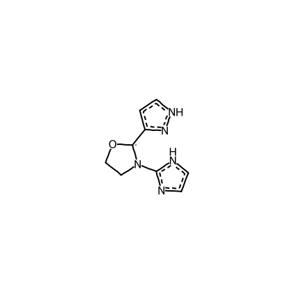 c1c[nH]c(N2CCO[C]2c2cc[nH]n2)n1